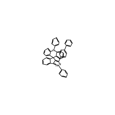 c1ccc(-c2ccc(-c3nc(-c4ccccc4)nc4c3C3(c5ccccc5-4)c4ccccc4N(c4ccccc4)c4ccccc43)cc2)cc1